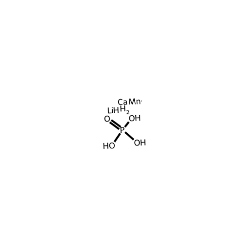 O=P(O)(O)O.[CaH2].[LiH].[Mn]